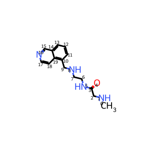 CNCC(=O)NCCNCc1cccc2cnccc12